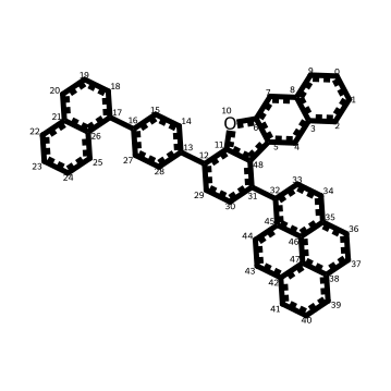 c1ccc2cc3c(cc2c1)oc1c(-c2ccc(-c4cccc5ccccc45)cc2)ccc(-c2ccc4ccc5cccc6ccc2c4c56)c13